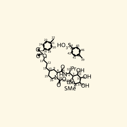 CSC1OC(C(NC(=O)C2CC(CCCOS(=O)(=O)c3ccc(C)cc3)CCN2C(=O)OC(C)(C)C)C(C)C)C(O)C(O)C1O.Cc1ccc(S(=O)(=O)O)cc1